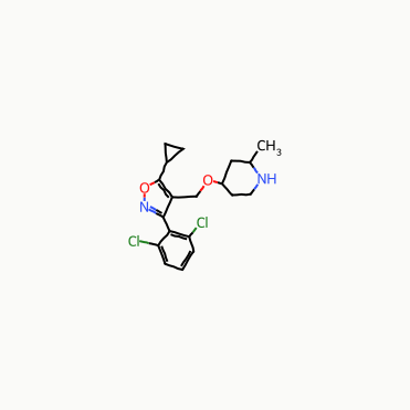 CC1CC(OCc2c(-c3c(Cl)cccc3Cl)noc2C2CC2)CCN1